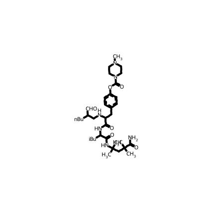 CCCCC(C=O)CNC(Cc1ccc(OC(=O)N2CCN(C)CC2)cc1)C(=O)NC(C(=O)NC(C)(C)CC(C)(C)C(N)=O)C(C)CC